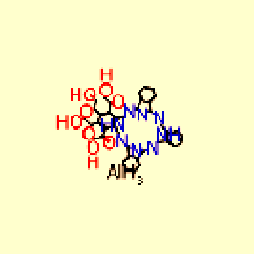 O=C(CO)c1c(C(=O)CO)c(C(=O)CO)c2c3nc4nc(nc5[nH]c(nc6nc(nc([nH]3)c2c1C(=O)CO)-c1ccccc1-6)c1ccccc51)-c1ccccc1-4.[AlH3]